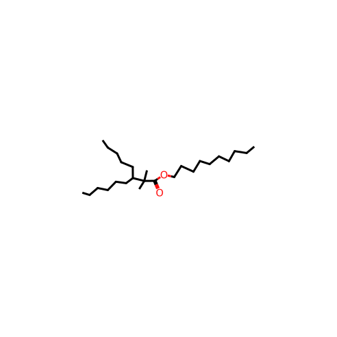 CCCCCCCCCCOC(=O)C(C)(C)C(CCCCC)CCCCCC